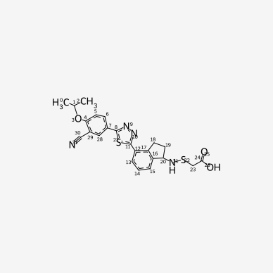 CC(C)Oc1ccc(-c2nnc(-c3cccc4c3CCC4NSCC(=O)O)s2)cc1C#N